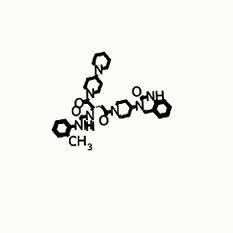 Cc1ccccc1NC(=O)N[C@@H](CC(=O)N1CCC(N2Cc3ccccc3NC2=O)CC1)C(=O)N1CCC(N2CCCCC2)CC1